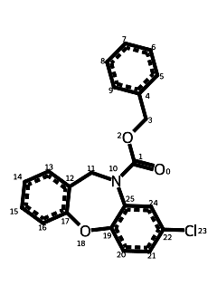 O=C(OCc1ccccc1)N1Cc2ccccc2Oc2ccc(Cl)cc21